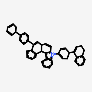 C1=CCC(c2ccc(C3=CC4C=Cc5c(c6ccccc6n5C5=CCC(C6=CCCc7ccccc76)C=C5)C4c4ccccc43)cc2)C=C1